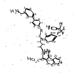 NCc1cccc(-c2ccc(CCN(CCCn3nc4c(c3C(=O)O)CCc3cnccc3-4)c3ccccc3)cc2)c1.O=C(O)C(F)(F)F